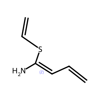 C=C/C=C(/N)SC=C